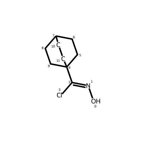 O/N=C(\Cl)C12CCC(CC1)CC2